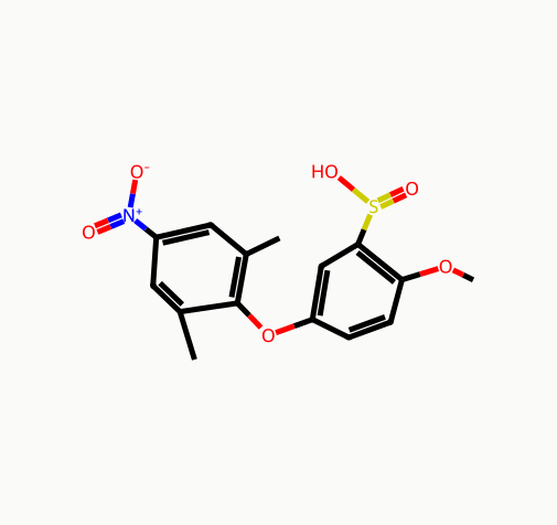 COc1ccc(Oc2c(C)cc([N+](=O)[O-])cc2C)cc1S(=O)O